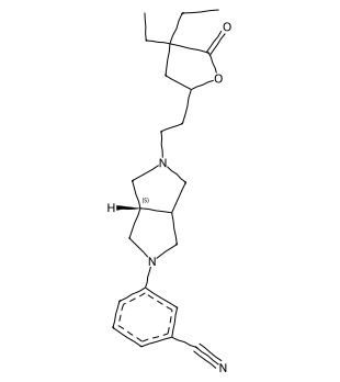 CCC1(CC)CC(CCN2CC3CN(c4cccc(C#N)c4)C[C@@H]3C2)OC1=O